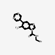 CC(C)CNC(=O)n1cnc2cc(-c3cncnc3)c(C(F)(F)F)cc21